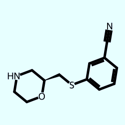 N#Cc1cccc(SC[C@@H]2CNCCO2)c1